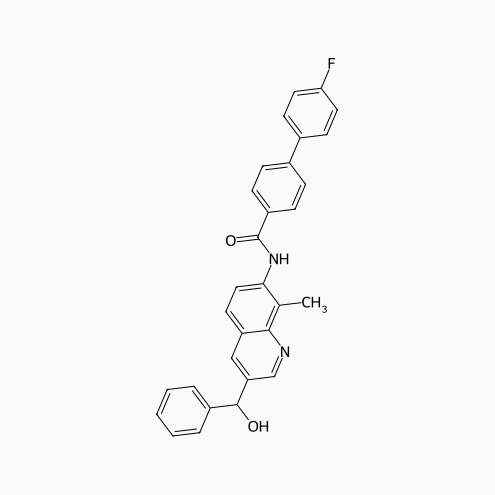 Cc1c(NC(=O)c2ccc(-c3ccc(F)cc3)cc2)ccc2cc(C(O)c3ccccc3)cnc12